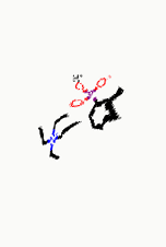 CC[N+](CC)(CC)CC.Cc1ccccc1P(=O)([O-])[O-].[H+]